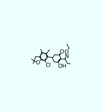 CCO/N=C(/CC)C1=C(O)CC(c2c(C)c(C)c3c(c2Cl)OC(C)(C)C3)CC1=O